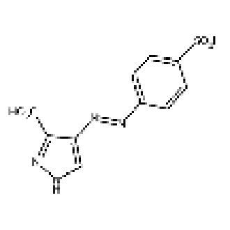 O=C(O)c1n[nH]cc1N=Nc1ccc(S(=O)(=O)O)cc1